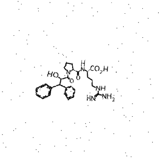 N=C(N)NCCC[C@H](NC(=O)[C@@H]1CCCN1C(=O)C(O)C(c1ccccc1)c1ccccc1)C(=O)O